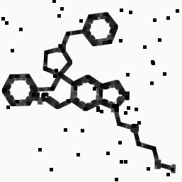 C=Cc1cc2c(cnn2COCCSI)cc1C1(Cc2ccccc2)CCN(Cc2ccccc2)C1